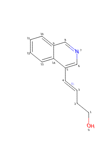 OCC/C=C/c1cncc2ccccc12